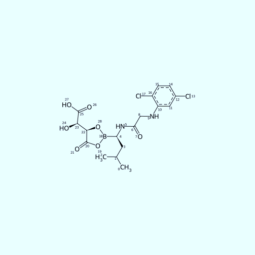 CC(C)C[C@H](NC(=O)CNc1cc(Cl)ccc1Cl)B1OC(=O)[C@@H]([C@@H](O)C(=O)O)O1